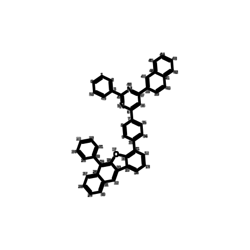 c1ccc(-c2nc(-c3ccc(-c4cccc5c4oc4c(-c6ccccc6)c6ccccc6cc45)cc3)cc(-c3ccc4ccccc4c3)n2)cc1